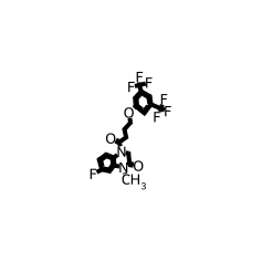 CN1C(=O)CN(C(=O)CCCOc2cc(C(F)(F)F)cc(C(F)(F)F)c2)c2ccc(F)cc21